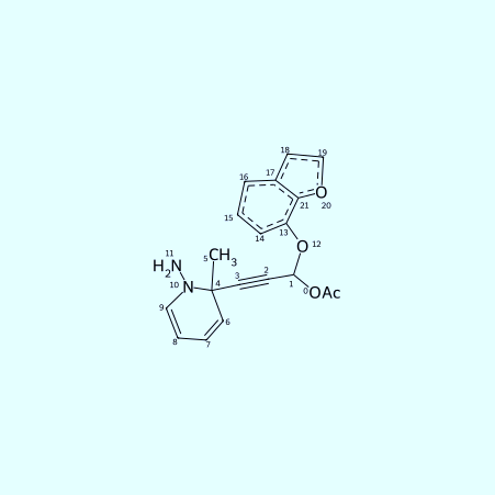 CC(=O)OC(C#CC1(C)C=CC=CN1N)Oc1cccc2ccoc12